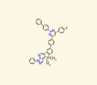 CC1(C)c2ccc(-c3ccc(-c4cc(-c5ccc(F)cc5)nc(-c5ccc(-c6ccccc6)cc5)n4)cc3)cc2-c2cnc3c(cnn3-c3ccccc3)c21